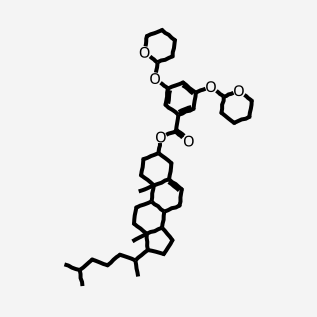 CC(C)CCCC(C)C1CCC2C3CC=C4CC(OC(=O)c5cc(OC6CCCCO6)cc(OC6CCCCO6)c5)CCC4(C)C3CCC12C